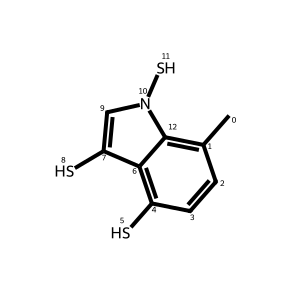 Cc1ccc(S)c2c(S)cn(S)c12